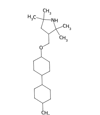 CC1CCC(C2CCC(OCC3CC(C)(C)NC3(C)C)CC2)CC1